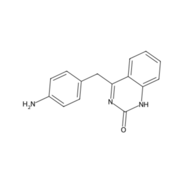 Nc1ccc(Cc2nc(=O)[nH]c3ccccc23)cc1